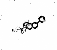 C[C@@H]1[C@H]2Cc3ccc(-c4ccccc4)cc3[C@]1(C)CCN2C(=O)OC(C)(C)C